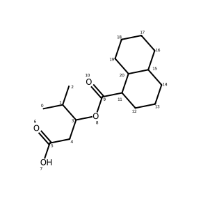 CC(C)C(CC(=O)O)OC(=O)C1CCCC2CCCCC21